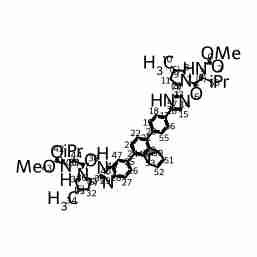 COC(=O)N[C@H](C(=O)N1C[C@@H](C)C[C@H]1c1ncc(-c2ccc(-c3ccc(-c4ccc5nc([C@@H]6C[C@H](C)CN6C(=O)[C@@H](NC(=O)OC)C(C)C)[nH]c5c4)c4c3C3C=CC4C3)cc2)[nH]1)C(C)C